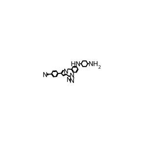 N#Cc1ccc(-c2cc3n(c2)Cc2cc(NC4CCC(N)CC4)ccc2-n2cnnc2-3)cc1